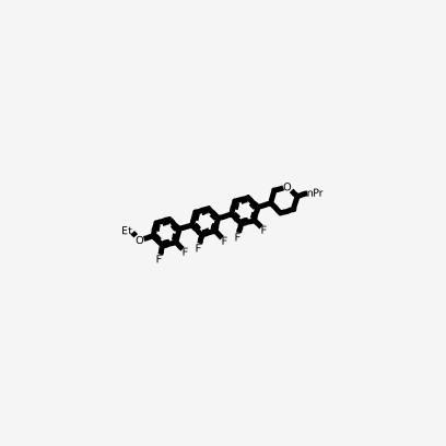 CCCC1CCC(c2ccc(-c3ccc(-c4ccc(OCC)c(F)c4F)c(F)c3F)c(F)c2F)CO1